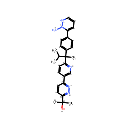 CC(C)C(C)(c1ccc(C2=CC=CNN2N)cc1)c1ccc(-c2ccc(C(C)(C)O)nn2)cn1